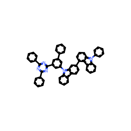 c1ccc(-c2cc(-c3nc(-c4ccccc4)nc(-c4ccccc4)n3)cc(-n3c4ccccc4c4ccc(-c5cccc6c5c5ccccc5n6-c5ccccc5)cc43)c2)cc1